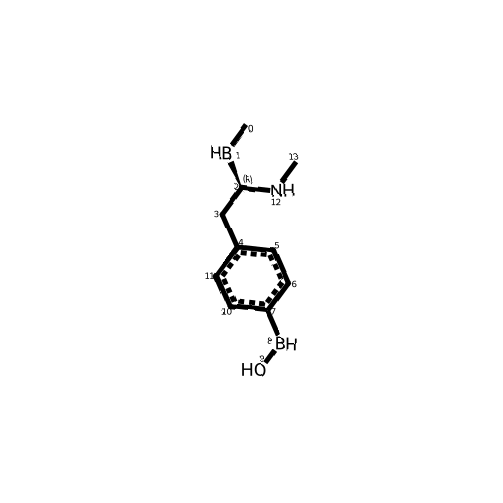 CB[C@H](Cc1ccc(BO)cc1)NC